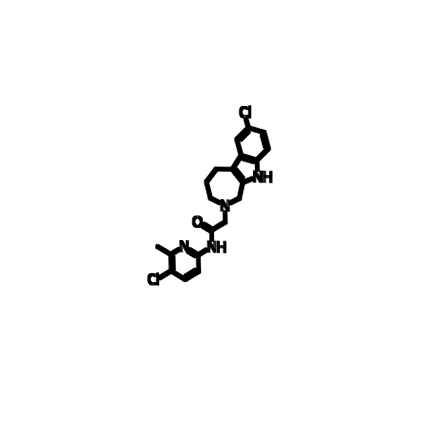 Cc1nc(NC(=O)CN2CCCc3c([nH]c4ccc(Cl)cc34)C2)ccc1Cl